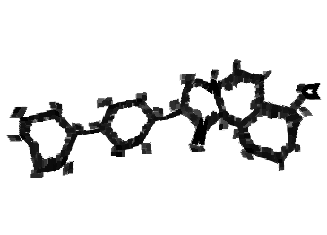 Clc1cccc2c1ccn1cc(-c3ccc(-c4ccccc4)cc3)nc21